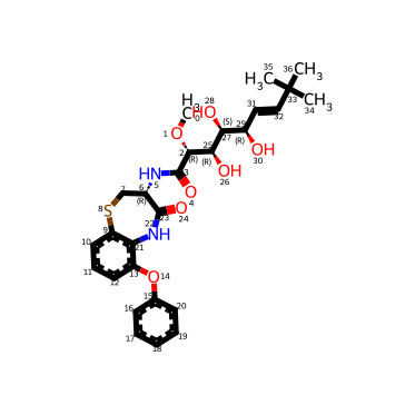 CO[C@@H](C(=O)N[C@H]1CSc2cccc(Oc3ccccc3)c2NC1=O)[C@H](O)[C@@H](O)[C@H](O)C=CC(C)(C)C